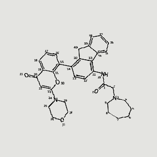 O=C(CN1CCCCCC1)Nc1ccc(-c2cccc3c(=O)cc(N4CCOCC4)oc23)c2c1-c1ccccc1C2